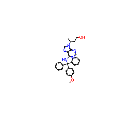 COc1ccc(C(Nc2ncnc3c2ncn3C(C)CCO)(c2ccccc2)c2ccccc2)cc1